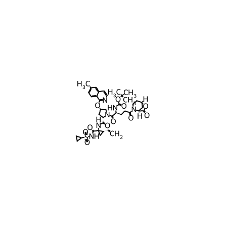 C=C[C@@H]1C[C@]1(NC(=O)[C@@H]1C[C@@H](Oc2nccc3cc(C)ccc23)CN1C(=O)[C@H](CCC(=O)N1CC[C@H]2C[C@H]1C(=O)O2)NC(=O)OC(C)(C)C)C(=O)NS(=O)(=O)C1CC1